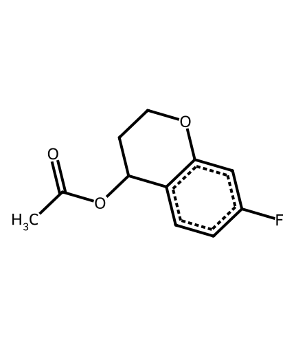 CC(=O)OC1CCOc2cc(F)ccc21